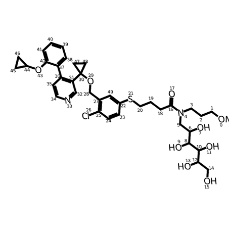 COCCCN(CC(O)C(O)C(O)C(O)CO)C(=O)CCCSc1ccc(Cl)c(COC2(c3cnccc3-c3ccccc3OC3CC3)CC2)c1